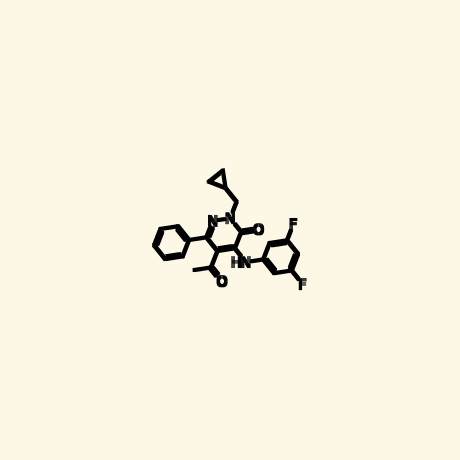 CC(=O)c1c(-c2ccccc2)nn(CC2CC2)c(=O)c1Nc1cc(F)cc(F)c1